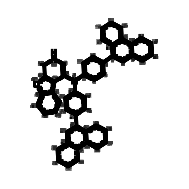 C1=C(N(c2ccc(-c3cc4ccccc4c4ccccc34)cc2)c2ccc(-c3cc4ccccc4c4ccccc34)cc2)c2c(oc3ccccc23)CN1